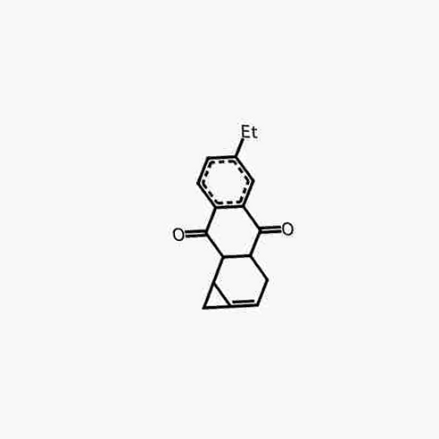 CCc1ccc2c(c1)C(=O)C1CC=C3CC3C1C2=O